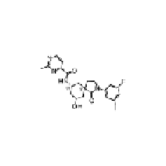 Cc1nccc(C(=O)N[C@H]2CC(O)C[C@]3(CCN(c4cc(F)cc(F)c4)C3=O)C2)n1